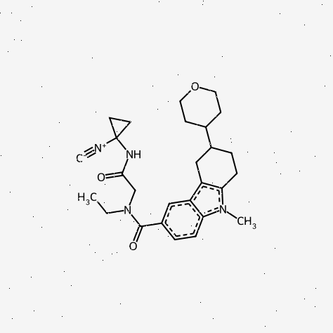 [C-]#[N+]C1(NC(=O)CN(CC)C(=O)c2ccc3c(c2)c2c(n3C)CCC(C3CCOCC3)C2)CC1